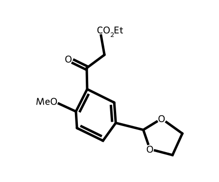 CCOC(=O)CC(=O)c1cc(C2OCCO2)ccc1OC